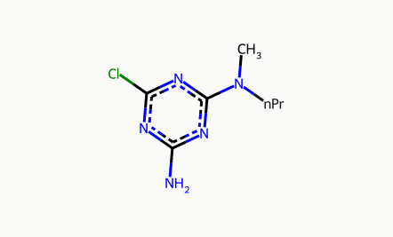 CCCN(C)c1nc(N)nc(Cl)n1